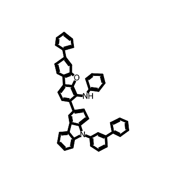 c1ccc(Nc2c(-c3ccc4c(c3)c3ccccc3n4-c3cccc(-c4ccccc4)c3)ccc3c2oc2cc(-c4ccccc4)ccc23)cc1